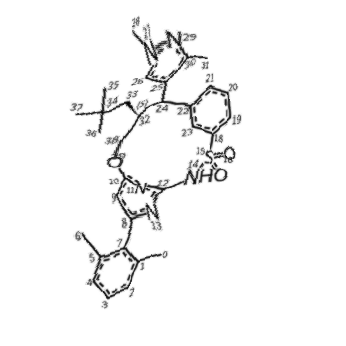 Cc1cccc(C)c1-c1cc2nc(n1)NS(=O)(=O)c1cccc(c1)C(c1cn(C)nc1C)[C@H](CC(C)(C)C)CO2